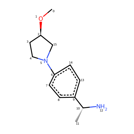 CO[C@@H]1CCN(c2ccc([C@@H](C)N)cc2)C1